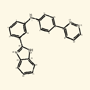 c1cc(Nc2ccc(-c3cccnn3)cc2)cc(-c2nc3ccccc3[nH]2)c1